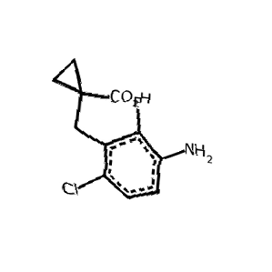 Nc1ccc(Cl)c(CC2(C(=O)O)CC2)c1F